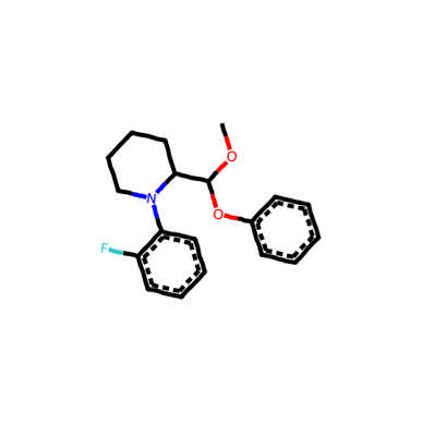 COC(Oc1ccccc1)C1CCCCN1c1ccccc1F